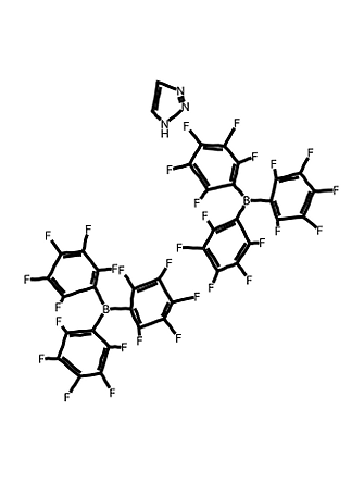 Fc1c(F)c(F)c(B(c2c(F)c(F)c(F)c(F)c2F)c2c(F)c(F)c(F)c(F)c2F)c(F)c1F.Fc1c(F)c(F)c(B(c2c(F)c(F)c(F)c(F)c2F)c2c(F)c(F)c(F)c(F)c2F)c(F)c1F.c1c[nH]nn1